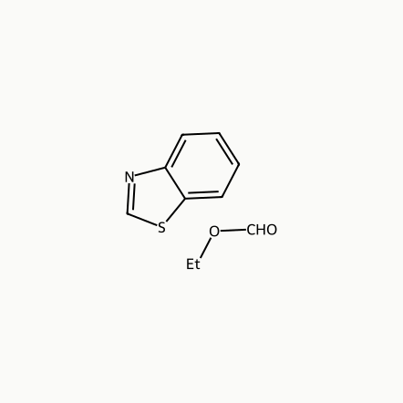 CCOC=O.c1ccc2scnc2c1